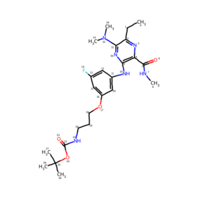 CCc1nc(C(=O)NC)c(Nc2cc(F)cc(OCCCNC(=O)OC(C)(C)C)c2)nc1N(C)C